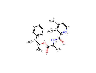 CCCC[C@H](c1ccccc1)[C@H](C)OC(=O)[C@H](C)NC(=O)c1nccc(OC)c1OC(C)=O